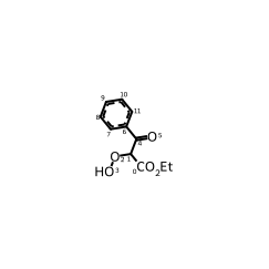 CCOC(=O)C(OO)C(=O)c1ccccc1